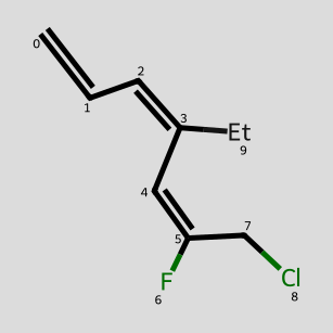 C=C/C=C(\C=C(\F)CCl)CC